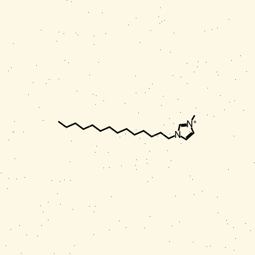 CCCCCCCCCCCCCCn1cc[n+](C)c1